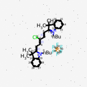 CCCCN1\C(=C/C=C(Cl)/C=C/C2=[N+](CCCC)c3ccccc3C2(C)C)C(C)(C)c2ccccc21.F[P-](F)(F)(F)(F)F